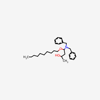 CCCCCCCCCCOC(CC(C)O)N(Cc1ccccc1)Cc1ccccc1